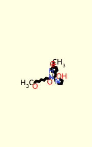 COc1ccc([C@H](O)[C@@H](CN2CCCC2)NC(=O)CCCCCC(C)=O)cc1